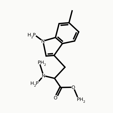 Cc1ccc2c(CC(C(=O)OP)N(P)P)cn(P)c2c1